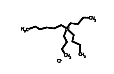 CCCCCC[P+](CCCC)(CCCC)CCCC.[Cl-]